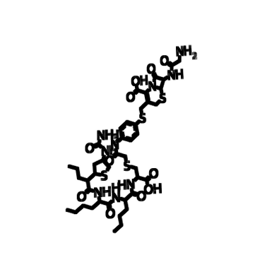 CCCCC(NC(=O)C(CCCC)NC(=O)C(CCC)C1CC(NC(N)=O)CS1)C(=O)NC(CSCC(=O)Nc1ccc(SCC2=C(C(=O)O)N3C(=O)C(NC(=O)CN)C3SC2)cc1)C(=O)O